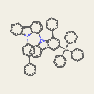 c1ccc(-c2ccc(-n3c4ccccc4c4cccc(-n5c6ccccc6c6cc([Si](c7ccccc7)(c7ccccc7)c7ccccc7)cc(-c7ccccc7)c65)c43)cc2)cc1